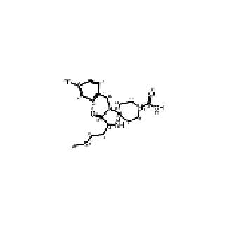 CSCCC1NC2(CCN(C(=O)O)CC2)N(Cc2ccc(F)cc2)C1=O